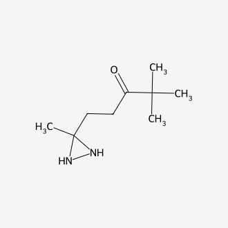 CC1(CCC(=O)C(C)(C)C)NN1